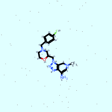 NC1=CN(C(F)(F)F)Cc2c1nnn2CC1CN(Cc2ccc(F)cc2)CCO1